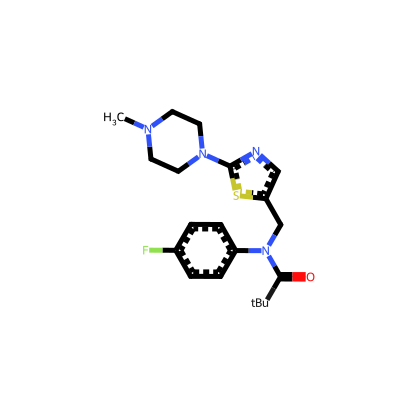 CN1CCN(c2ncc(CN(C(=O)C(C)(C)C)c3ccc(F)cc3)s2)CC1